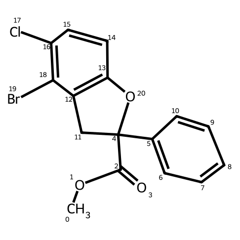 COC(=O)C1(c2ccccc2)Cc2c(ccc(Cl)c2Br)O1